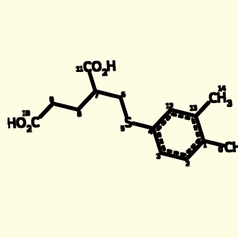 Cc1ccc(SCC(CCC(=O)O)C(=O)O)cc1C